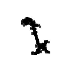 CCCCOc1nc(N)c2[nH]c(=O)n(Cc3ccc(CN4CCC(CCNC(=O)[C@@H](CCCCNC(=O)CCCC(=O)NCCOCCOCCOCCOCCC(=O)NC(COCCC(=O)NC(C)(C)CCOC(C)(C)C)(COCCC(=O)NC(C)(C)CCOC(C)(C)C)COCCC(=O)NC(C)(C)CCOC(C)(C)C)NC(=O)CON)CC4)cc3)c2n1